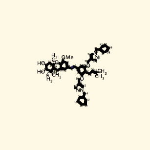 COc1cc(/C=C/c2cc(OCc3cn(Cc4ccccc4)nn3)c(CC=C(C)C)c(OCc3cn(Cc4ccccc4)nn3)c2)cc2c1O[C@]1(C)C[C@@H](O)[C@@H](O)C(C)(C)[C@H]1C2